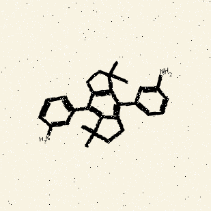 CC1(C)CCc2c(-c3cccc(N)c3)c3c(c(-c4cccc(N)c4)c21)CCC3(C)C